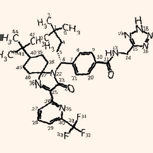 CC(C)(C)CC[C@H](c1ccc(C(=O)NCc2nn[nH]n2)cc1)N1C(=O)C(c2cccc(C(F)(F)F)n2)=NC12CCC(C(C)(C)C)CC2